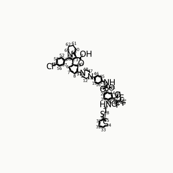 O=C(O)c1c(-c2cccc(N3CCN(c4ccc(NS(=O)(=O)c5ccc(NCCSc6ccccc6)c(S(=O)(=O)C(F)(F)F)c5)cc4)CC3)c2)c(-c2ccc(Cl)cc2)n2c1CCCC2